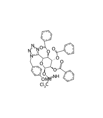 COc1ccc(Cn2nnnc2C2O[C@H](OC(=N)C(Cl)(Cl)Cl)[C@H](OC(=O)c3ccccc3)[C@@H](OC(=O)c3ccccc3)[C@@H]2OC(=O)c2ccccc2)cc1